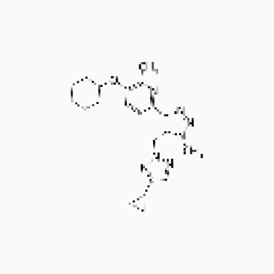 Cc1nc(-c2nnn(C)c2Cn2ncc(C3CC3)n2)ccc1OC1CCCCC1